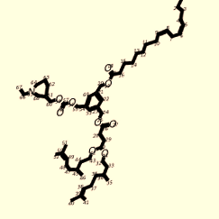 CCCCC/C=C\C/C=C\CCCCCCCC(=O)OCc1cc(COC(=O)CCC(OCCC(C)CCC=C(C)C)OCCC(C)CCC=C(C)C)cc(COC(=O)OCC2CCCN(CC)C2)c1